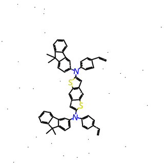 C=Cc1ccc(N(c2ccc3c(c2)-c2ccccc2C3(C)C)c2cc3cc4sc(N(c5ccc(C=C)cc5)c5ccc6c(c5)-c5ccccc5C6(C)C)cc4cc3s2)cc1